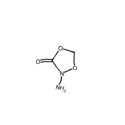 NN1OCOC1=O